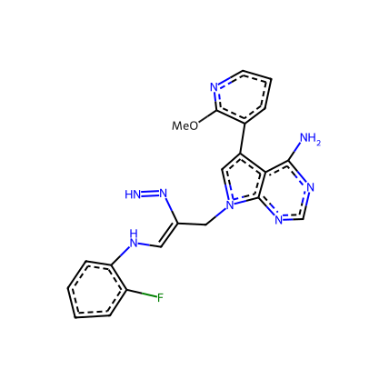 COc1ncccc1-c1cn(C/C(=C/Nc2ccccc2F)N=N)c2ncnc(N)c12